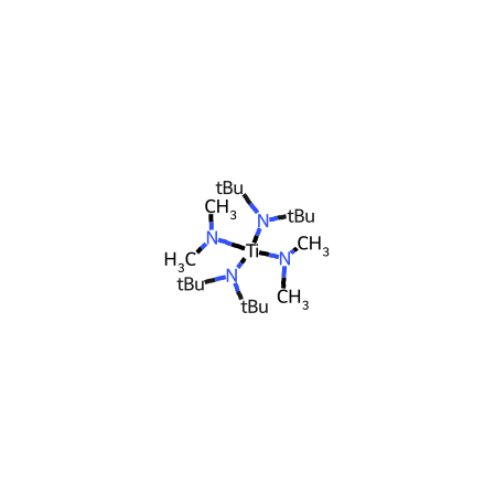 C[N](C)[Ti]([N](C)C)([N](C(C)(C)C)C(C)(C)C)[N](C(C)(C)C)C(C)(C)C